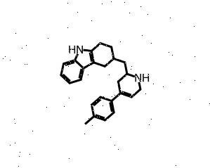 Cc1ccc(C2=CCNC(CC3CCc4[nH]c5ccccc5c4C3)C2)cc1